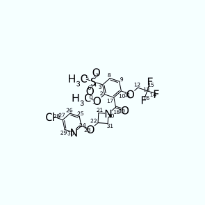 COc1c(S(C)(=O)=O)ccc(OCC(F)(F)F)c1C(=O)N1CC(Oc2ccc(Cl)cn2)C1